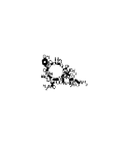 CC[C@H](C)[C@@H]1NC(=O)[C@H](Cc2ccc(O)cc2)NC(=O)CNC(=O)CC[C@@H](C(=O)N(C)CC(=O)N[C@H](C(=O)NCC(N)=O)C(C)(C)C)NC(=O)[C@H](CC(N)=O)NC(=O)[C@H](CCC(N)=O)NC1=O